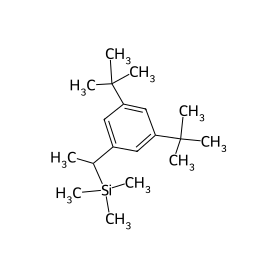 CC(c1cc(C(C)(C)C)cc(C(C)(C)C)c1)[Si](C)(C)C